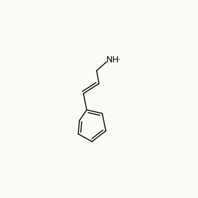 [NH]CC=Cc1ccccc1